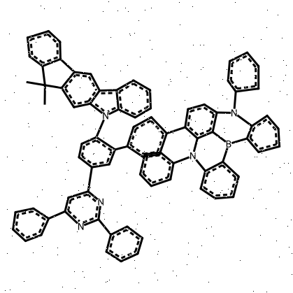 CC1(C)c2ccccc2-c2cc3c4ccccc4n(-c4ccc(-c5cc(-c6ccccc6)nc(-c6ccccc6)n5)cc4-c4ccc(-c5ccc6c7c5N(c5ccccc5)c5ccccc5B7c5ccccc5N6c5ccccc5)cc4)c3cc21